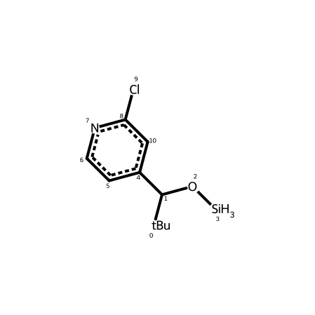 CC(C)(C)C(O[SiH3])c1ccnc(Cl)c1